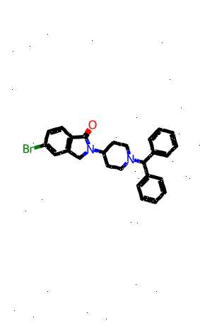 O=C1c2ccc(Br)cc2CN1C1CCN(C(c2ccccc2)c2ccccc2)CC1